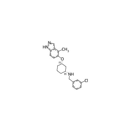 Cc1c(O[C@H]2CCC[C@@H](NCc3cccc(Cl)c3)C2)ccc2[nH]ncc12